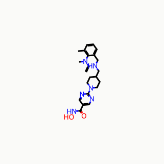 C=CN(C)c1c(C)cccc1CNCC1CCN(c2ncc(C(=O)NO)cn2)CC1